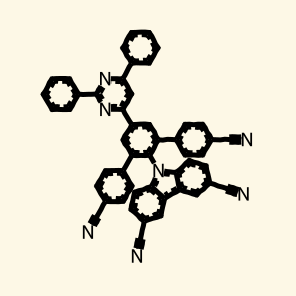 N#Cc1ccc(-c2cc(-c3cc(-c4ccccc4)nc(-c4ccccc4)n3)cc(-c3ccc(C#N)cc3)c2-n2c3ccc(C#N)cc3c3cc(C#N)ccc32)cc1